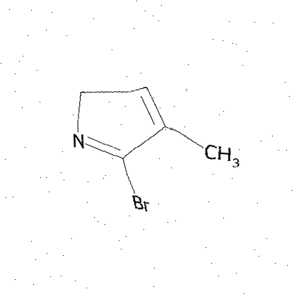 CC1=CCN=C1Br